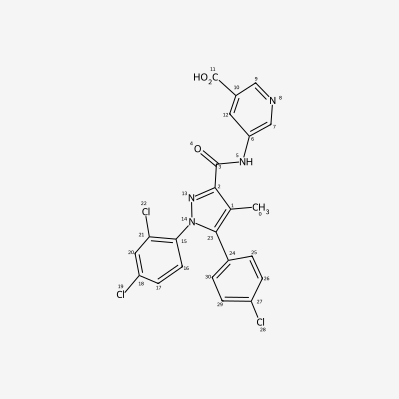 Cc1c(C(=O)Nc2cncc(C(=O)O)c2)nn(-c2ccc(Cl)cc2Cl)c1-c1ccc(Cl)cc1